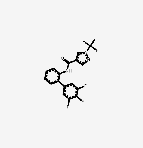 CC(F)(F)n1cc(C(=O)Nc2ccccc2-c2cc(F)c(F)c(F)c2)cn1